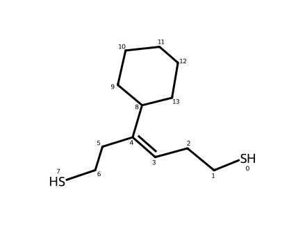 SCC/C=C(/CCS)C1CCCCC1